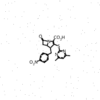 Cc1cc(C)nc(SC2=C(C(=O)O)N3C(=O)CC3C2Cc2ccc([N+](=O)[O-])cc2)n1